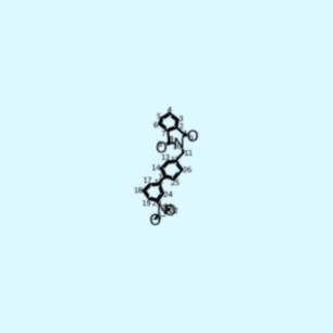 O=C1c2ccccc2C(=O)N1Cc1ccc(-c2cccc([N+](=O)[O-])c2)cc1